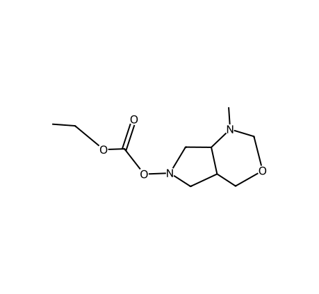 CCOC(=O)ON1CC2COCN(C)C2C1